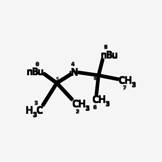 CCCCC(C)(C)[N]C(C)(C)CCCC